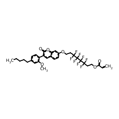 C=CC(=O)OCCC(F)(F)C(F)(F)C(F)(F)C(F)(F)CCOc1ccc2cc(-c3ccc(CCCCC)cc3OC)c(=O)oc2c1